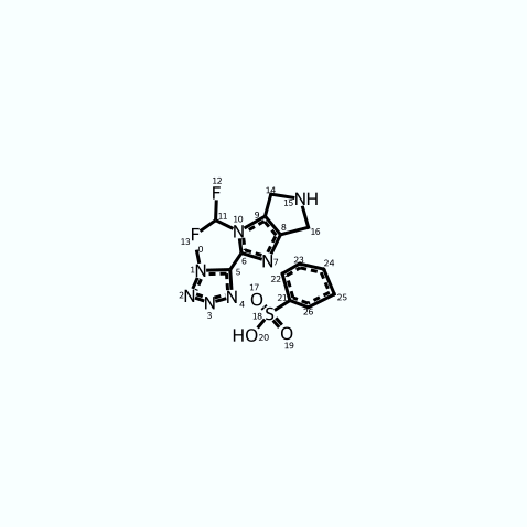 Cn1nnnc1-c1nc2c(n1C(F)F)CNC2.O=S(=O)(O)c1ccccc1